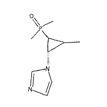 CC1C(P(C)(C)=O)[C@H]1n1ccnc1